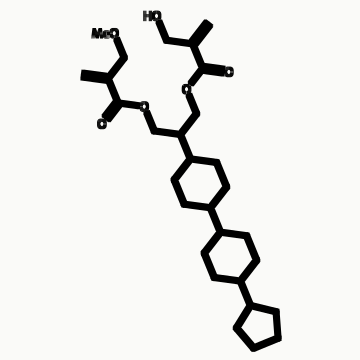 C=C(CO)C(=O)OCC(COC(=O)C(=C)COC)C1CCC(C2CCC(C3CCCC3)CC2)CC1